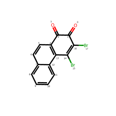 O=C1C(=O)c2ccc3ccccc3c2C(Br)=C1Br